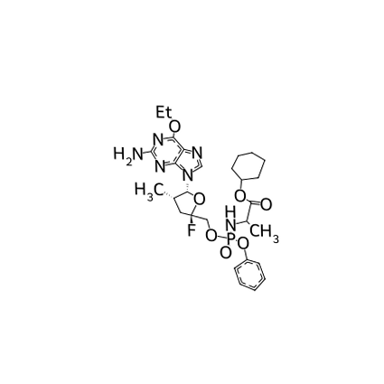 CCOc1nc(N)nc2c1ncn2[C@@H]1O[C@](F)(COP(=O)(NC(C)C(=O)OC2CCCCC2)Oc2ccccc2)C[C@@H]1C